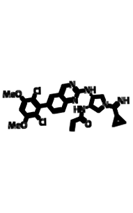 C=CC(=O)N[C@H]1CN(C(=N)C2CC2)C[C@H]1Nc1ncc2cc(-c3c(Cl)c(OC)cc(OC)c3Cl)ccc2n1